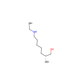 CCCC[C@@H](CO)CCCCCNCC(C)(C)C